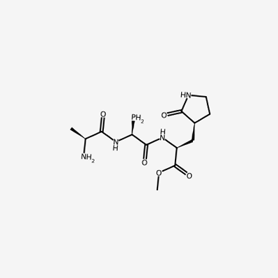 COC(=O)[C@H](C[C@@H]1CCNC1=O)NC(=O)[C@H](P)NC(=O)[C@H](C)N